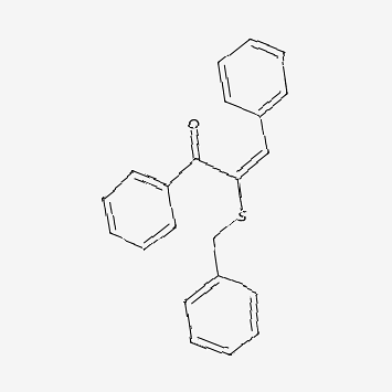 O=C(/C(=C\c1ccccc1)SCc1ccccc1)c1ccccc1